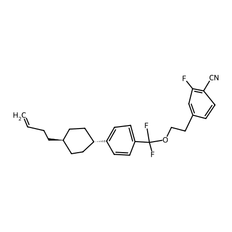 C=CCC[C@H]1CC[C@H](c2ccc(C(F)(F)OCCc3ccc(C#N)c(F)c3)cc2)CC1